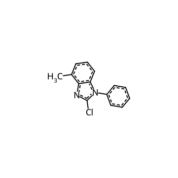 Cc1cccc2c1nc(Cl)n2-c1ccccc1